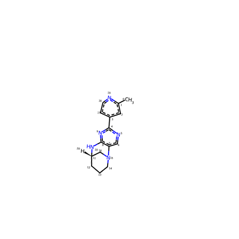 Cc1cc(-c2ncc3c(n2)N[C@H]2CCCN3C2)ccn1